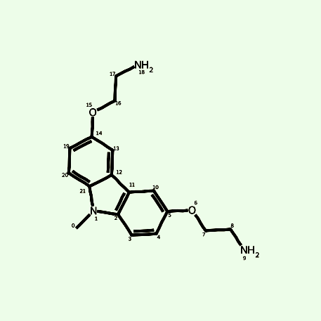 Cn1c2ccc(OCCN)cc2c2cc(OCCN)ccc21